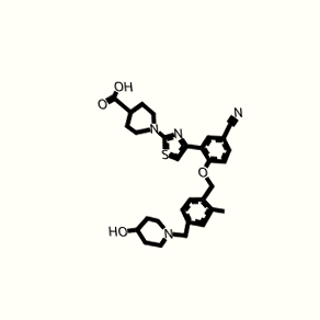 Cc1cc(CN2CCC(O)CC2)ccc1COc1ccc(C#N)cc1-c1csc(N2CCC(C(=O)O)CC2)n1